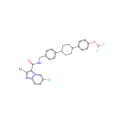 CCc1nc2ccc(Cl)cn2c1C(=O)NCc1ccc(C2CCN(c3ccc(OC(F)F)cc3)CC2)cc1